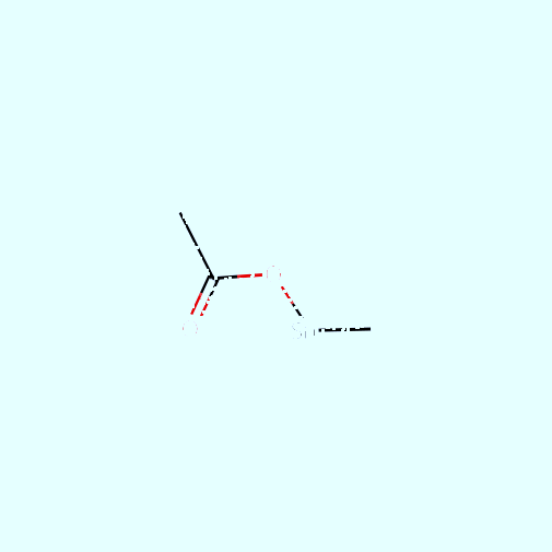 [CH3][Sn][O]C(C)=O